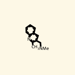 CNCc1cc2ccccc2nc1C